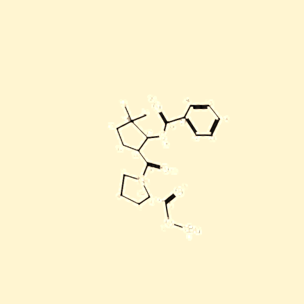 CC(C)(C)OC(=O)[C@@H]1CCCN1C(=O)C1CCC(C)(C)C1SC(=O)c1ccccc1